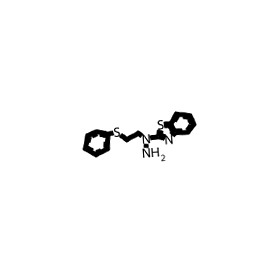 NN(CCSc1ccccc1)c1nc2ccccc2s1